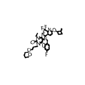 CCn1c(=O)n(CCCOC2CCCCO2)c(=O)c2c1nc(-c1ccc(OC3CCC3C)nc1C(F)(F)F)n2Cc1ccc(F)cc1